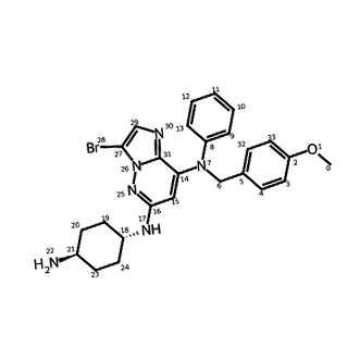 COc1ccc(CN(c2ccccc2)c2cc(N[C@H]3CC[C@H](N)CC3)nn3c(Br)cnc23)cc1